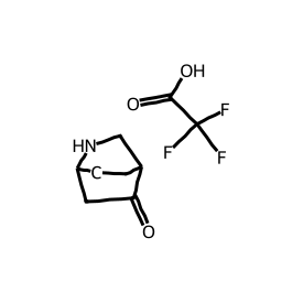 O=C(O)C(F)(F)F.O=C1CC2CCC1CN2